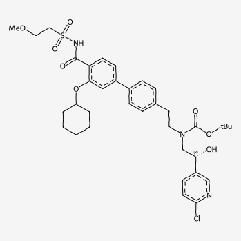 COCCS(=O)(=O)NC(=O)c1ccc(-c2ccc(CCN(C[C@H](O)c3ccc(Cl)nc3)C(=O)OC(C)(C)C)cc2)cc1OC1CCCCC1